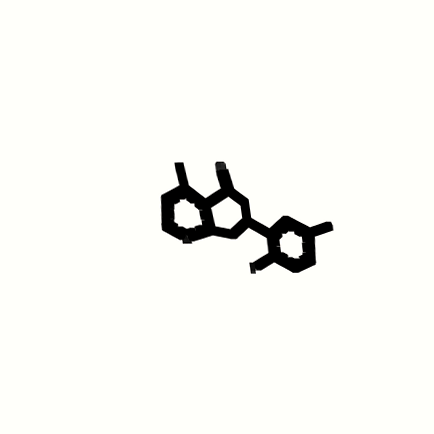 Cc1ccc(F)c(C2CC(=O)c3c(C)ccnc3C2)c1